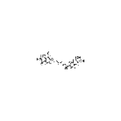 CCCc1c(OCCCCCCC(=O)c2ccc3cc(O)c(O)cc3c2)ccc(C(=O)O)c1O